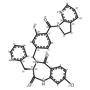 O=C1Nc2cc(Cl)ccc2C(=O)N(Cc2ccc(C(=O)N3CCc4cccnc43)c(F)c2)[C@@H]1Cc1ccccn1